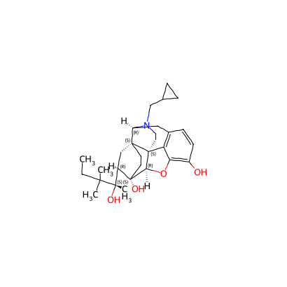 CCC(C)(C)[C@@](C)(O)[C@H]1C[C@@]23CC[C@@]1(O)[C@@H]1Oc4c(O)ccc5c4[C@@]12CCN(CC1CC1)[C@@H]3C5